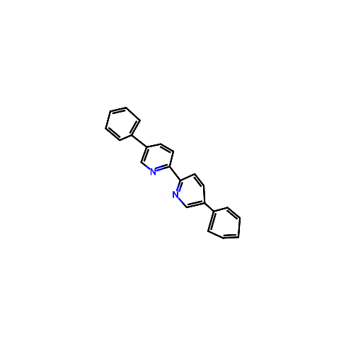 c1ccc(-c2ccc(-c3ccc(-c4ccccc4)cn3)nc2)cc1